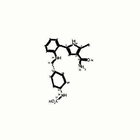 Cc1[nH]c(-c2ccccc2NC[C@H]2CC[C@@H](NC(=O)O)CC2)cc1C(N)=O